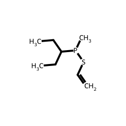 C=CSP(C)C(CC)CC